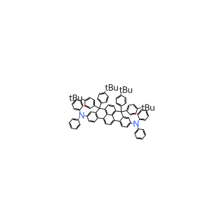 CC(C)(C)c1ccc(C2(c3ccc(C(C)(C)C)cc3)c3cc(N(c4ccccc4)c4ccccc4)ccc3-c3ccc4c5c(ccc2c35)C(c2ccc(C(C)(C)C)cc2)(c2ccc(C(C)(C)C)cc2)c2cc(N(c3ccccc3)c3ccccc3)ccc2-4)cc1